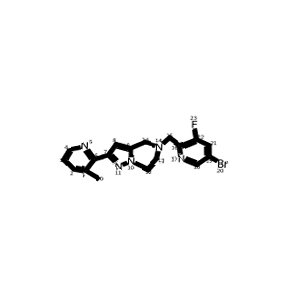 Cc1cccnc1-c1cc2n(n1)CCN(Cc1ncc(Br)cc1F)C2